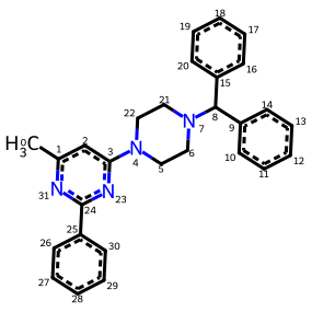 Cc1cc(N2CCN(C(c3ccccc3)c3ccccc3)CC2)nc(-c2ccccc2)n1